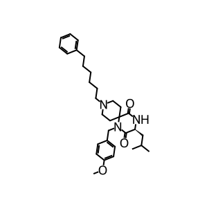 COc1ccc(CN2C(=O)[C@H](CC(C)C)NC(=O)C23CCN(CCCCCCc2ccccc2)CC3)cc1